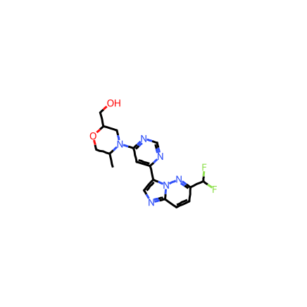 CC1COC(CO)CN1c1cc(-c2cnc3ccc(C(F)F)nn23)ncn1